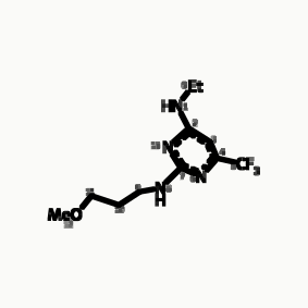 CCNc1cc(C(F)(F)F)nc(NCCCOC)n1